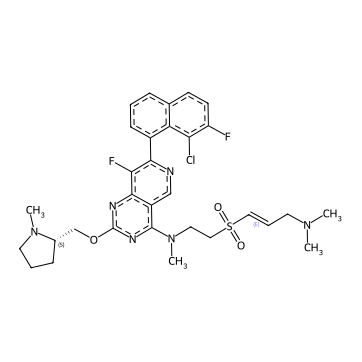 CN(C)C/C=C/S(=O)(=O)CCN(C)c1nc(OC[C@@H]2CCCN2C)nc2c(F)c(-c3cccc4ccc(F)c(Cl)c34)ncc12